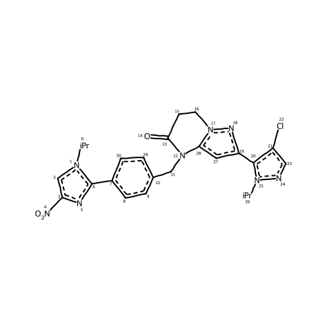 CC(C)n1cc([N+](=O)[O-])nc1-c1ccc(CN2C(=O)CCn3nc(-c4c(Cl)cnn4C(C)C)cc32)cc1